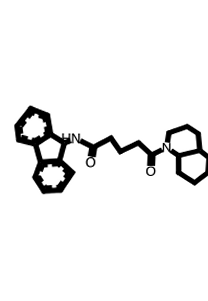 O=C(CCCC(=O)N1CCCC2CCCCC21)NC1c2ccccc2-c2ccccc21